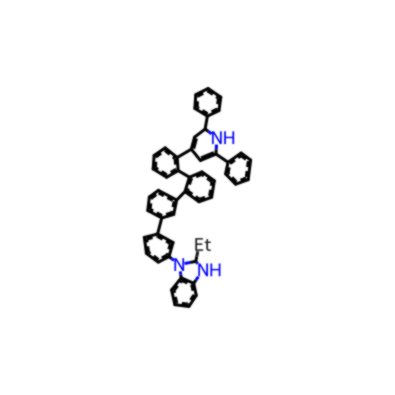 CCC1Nc2ccccc2N1c1cccc(-c2cccc(-c3ccccc3-c3ccccc3C3=CC(c4ccccc4)NC(c4ccccc4)=C3)c2)c1